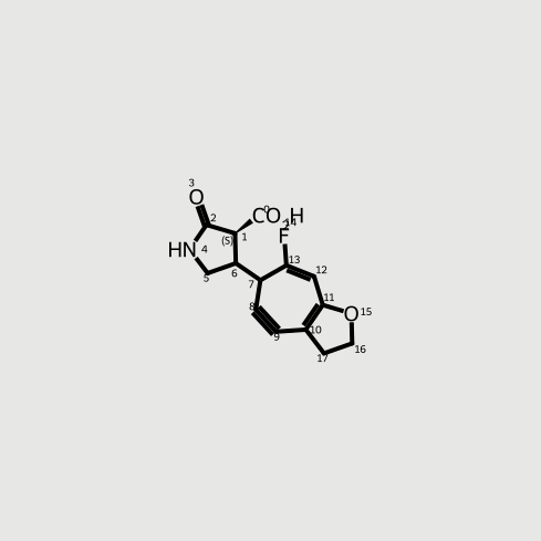 O=C(O)[C@@H]1C(=O)NCC1C1C#CC2=C(C=C1F)OCC2